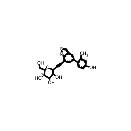 Cc1cc(O)ccc1-c1cc(C#CC2OC(CO)[C@@H](O)C(O)C2O)c2[nH]ncc2c1